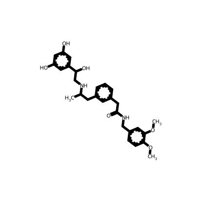 COc1ccc(CNC(=O)Cc2cccc(CC(C)NCC(O)c3cc(O)cc(O)c3)c2)cc1OC